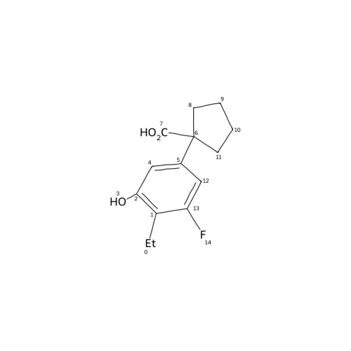 CCc1c(O)cc(C2(C(=O)O)CCCC2)cc1F